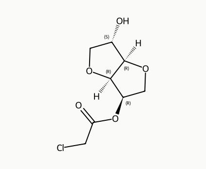 O=C(CCl)O[C@@H]1CO[C@H]2[C@@H]1OC[C@@H]2O